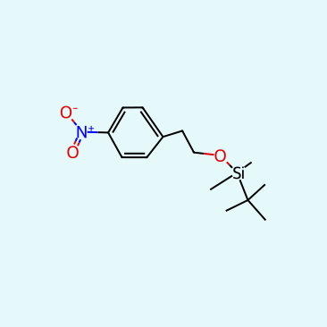 CC(C)(C)[Si](C)(C)OCCc1ccc([N+](=O)[O-])cc1